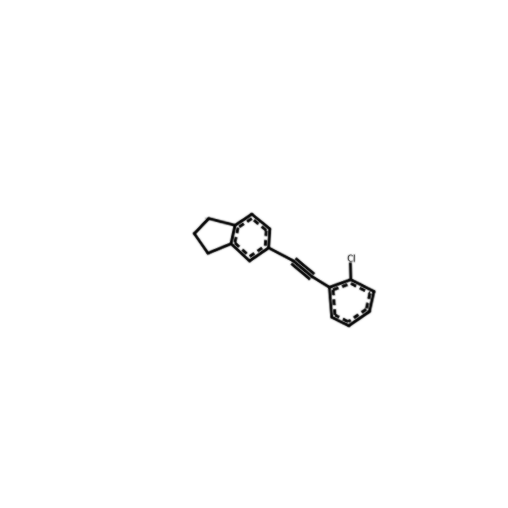 Clc1ccccc1C#Cc1ccc2c(c1)CC[CH]2